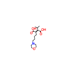 CC(C)/C(C(=O)O)=C(/CCCCN1CCOCC1)C(=O)O